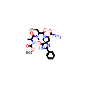 CC(C)CC(C(=O)N1C[C@@]2(C[C@H]1C(N)=O)N=C(c1ccccc1)NC2=O)N(C)C(=O)C(C)NC(=O)OC(C)(C)C